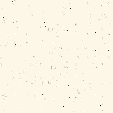 NCCS(=O)(=O)ONC(N)=O